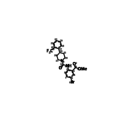 COC(=O)c1cc(Br)ccc1NC(=O)N1CCC(c2ccccc2C(F)(F)F)CC1